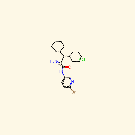 Cl.N[C@H](C(=O)Nc1ccc(Br)nc1)C(C1CCCCC1)C1CCCCC1